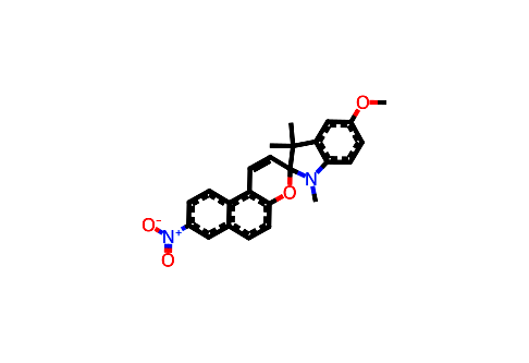 COc1ccc2c(c1)C(C)(C)C1(C=Cc3c(ccc4cc([N+](=O)[O-])ccc34)O1)N2C